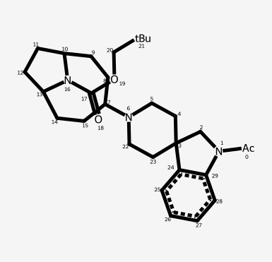 CC(=O)N1CC2(CCN(C3CCC4CCC(CC3)N4C(=O)OCC(C)(C)C)CC2)c2ccccc21